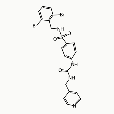 O=C(NCc1ccncc1)Nc1ccc(S(=O)(=O)NCc2c(Br)cccc2Br)cc1